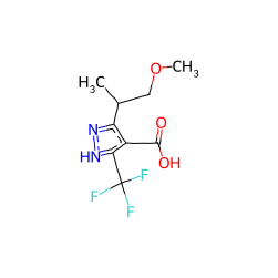 COCC(C)c1n[nH]c(C(F)(F)F)c1C(=O)O